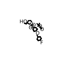 CC(C)(C)OC=O.CCC1(O)CCCN(S(=O)(=O)c2ccc(OCc3ccc(F)cc3)cc2)C1